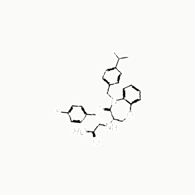 CC(C)c1ccc(CN2C(=O)[C@H](N[C@@H](Cc3ccc(F)cc3)C(=O)O)COc3ccccc32)cc1